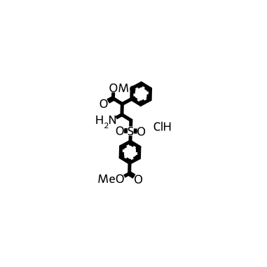 COC(=O)c1ccc(S(=O)(=O)CC(N)C(C(=O)OC)c2ccccc2)cc1.Cl